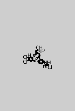 Cc1cc(C)c(/C=C2\CN(Cc3ccc(Cl)c(Cl)c3)c3ccc(NC(=O)CCl)cc32)[nH]1